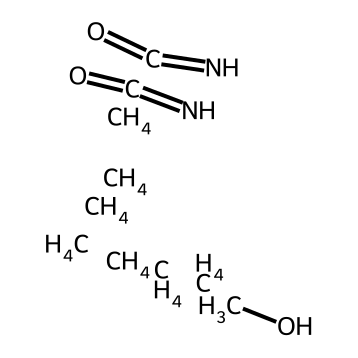 C.C.C.C.C.C.C.CO.N=C=O.N=C=O